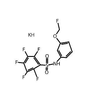 O=S(=O)(Nc1cccc(OCF)c1)c1c(F)c(F)c(F)c(F)c1F.[KH]